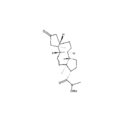 CON(C)C(=O)[C@H]1CC[C@H]2[C@@H]3CC[C@H]4CC(=O)C[C@]4(C)[C@H]3CC[C@]12C